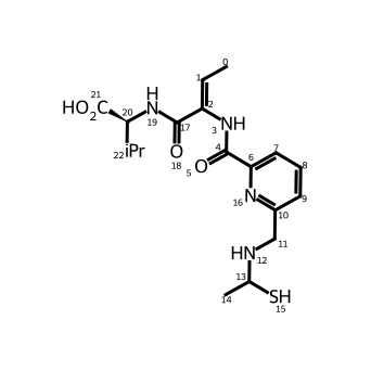 C/C=C(\NC(=O)c1cccc(CNC(C)S)n1)C(=O)N[C@H](C(=O)O)C(C)C